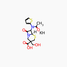 CC(=O)N(c1cccs1)C1C(=O)N2CC(CO)(C(=O)O)CS[C@H]12.[KH]